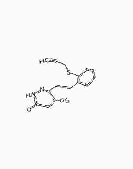 C#CCSc1ccccc1C=Cc1n[nH]c(=O)cc1C